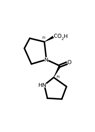 O=C(O)[C@@H]1CCCN1C(=O)[C@H]1CCCN1